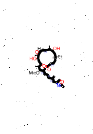 CC[C@@H]1C/C=C/C(=O)OC([C@H](C)[C@@H](OC)/C(C)=C/C=C/C(C)=C/c2coc(C)n2)C[C@H](O)[C@]2(C)O[C@@H]2/C=C/[C@@H](C)[C@H](O)C1